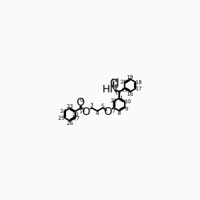 O=C(OCCCOc1cccc(C(NCl)c2ccccc2)c1)c1ccccc1